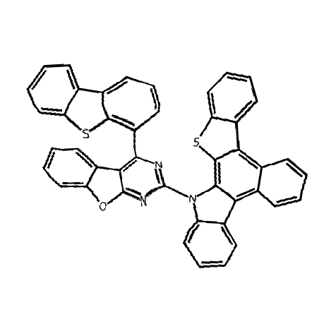 c1ccc2c(c1)oc1nc(-n3c4ccccc4c4c5ccccc5c5c6ccccc6sc5c43)nc(-c3cccc4c3sc3ccccc34)c12